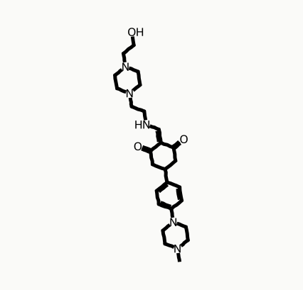 CN1CCN(c2ccc(C3CC(=O)C(=CNCCN4CCN(CCO)CC4)C(=O)C3)cc2)CC1